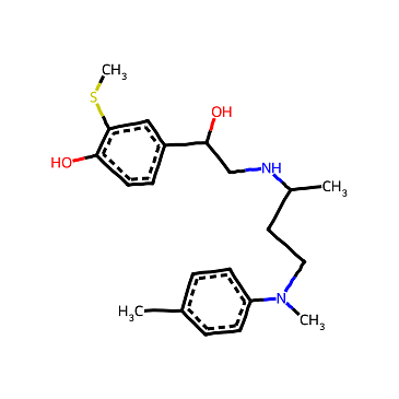 CSc1cc(C(O)CNC(C)CCN(C)c2ccc(C)cc2)ccc1O